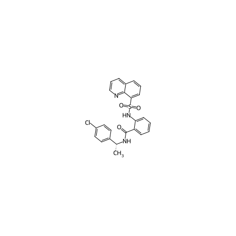 C[C@@H](NC(=O)c1ccccc1NS(=O)(=O)c1cccc2cccnc12)c1ccc(Cl)cc1